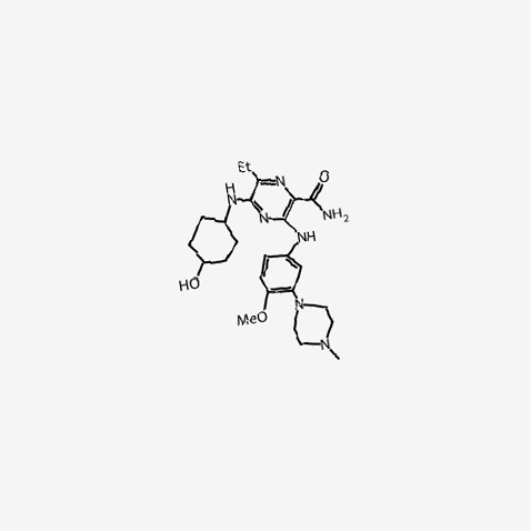 CCc1nc(C(N)=O)c(Nc2ccc(OC)c(N3CCN(C)CC3)c2)nc1NC1CCC(O)CC1